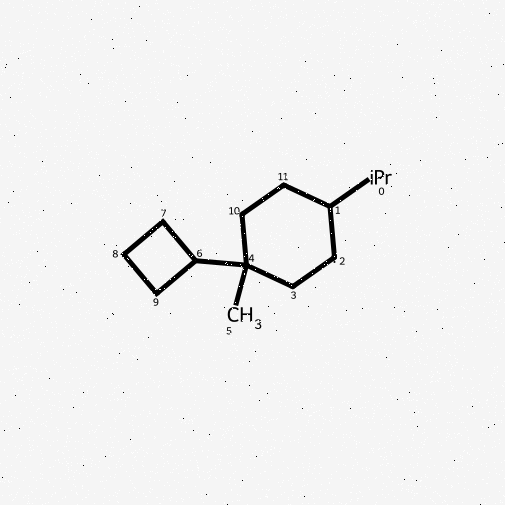 CC(C)C1[CH]CC(C)(C2CCC2)CC1